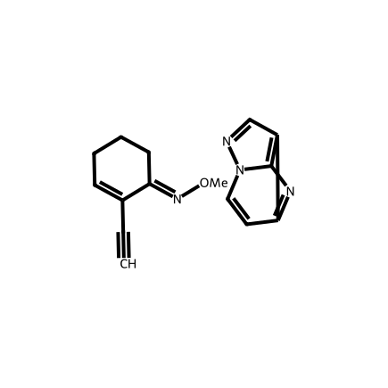 C#CC1=CCCCC1=NOC.c1cn2ncc3c2nc1-3